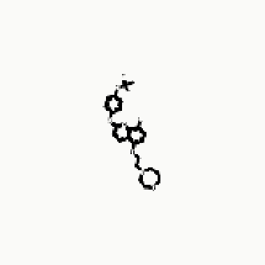 FC(F)(F)Oc1ccc(Oc2ccc3c(OCCN4CCCOCC4)ccc(Cl)c3n2)cc1